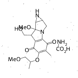 COCC(C)OC1=C(C)C(=O)C2=C(C1=O)C(CO)C1(OC)C3NC3CN21.NC(=O)O